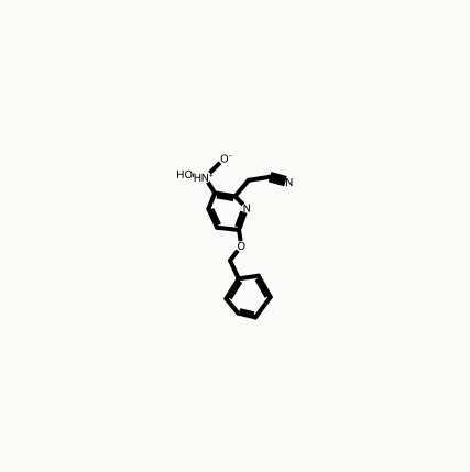 N#CCc1nc(OCc2ccccc2)ccc1[NH+]([O-])O